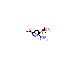 CCC(=O)c1cnn2c(C(N)=O)c(OCC(C)(C)O)ccc12